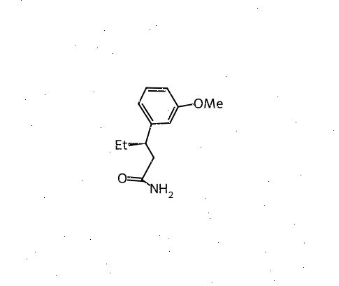 CC[C@H](CC(N)=O)c1cccc(OC)c1